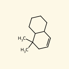 CC1(C)CC=CC2CCCCC21